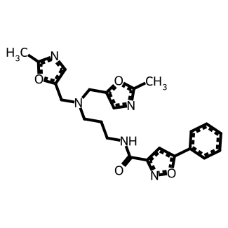 Cc1ncc(CN(CCCNC(=O)c2cc(-c3ccccc3)on2)Cc2cnc(C)o2)o1